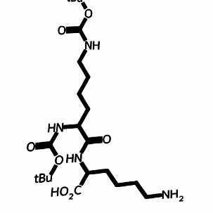 CC(C)(C)OC(=O)NCCCCC(NC(=O)OC(C)(C)C)C(=O)NC(CCCCN)C(=O)O